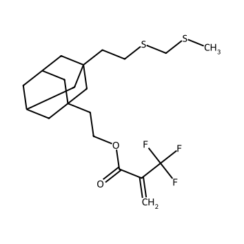 C=C(C(=O)OCCC12CC3CC(C1)CC(CCSCSC)(C3)C2)C(F)(F)F